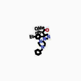 CCCC(C(=O)OC)c1cncnc1-c1ccc(CC)cc1N1CCCN(Cc2ccccc2)CC1